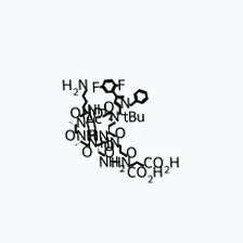 CC(=O)[C@](N)(CCCCN)C(=O)N[C@@H](C)C(=O)N[C@@H](C)C(=O)N[C@@H](CC(N)=O)C(=O)N[C@@H](CCN(C(=O)CO)[C@@H](c1cc(-c2cc(F)ccc2F)cn1Cc1ccccc1)C(C)(C)C)C(=O)NCCC(=O)N[C@@H](CCC(=O)O)C(=O)O